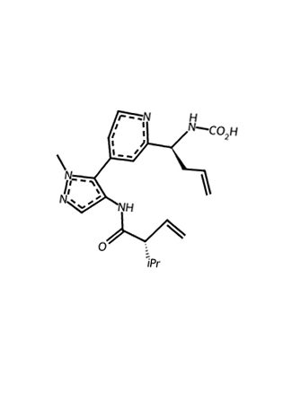 C=CC[C@H](NC(=O)O)c1cc(-c2c(NC(=O)[C@H](C=C)C(C)C)cnn2C)ccn1